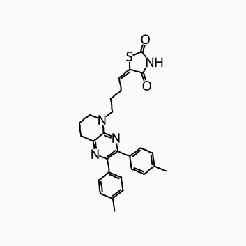 Cc1ccc(-c2nc3c(nc2-c2ccc(C)cc2)N(CCCC=C2SC(=O)NC2=O)CCC3)cc1